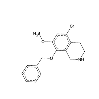 BOc1cc(Br)c2c(c1OCc1ccccc1)CNCC2